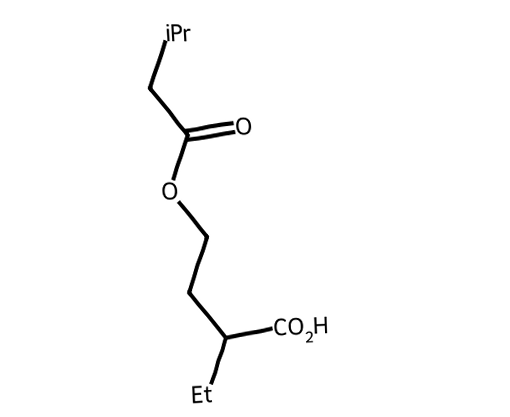 CCC(CCOC(=O)CC(C)C)C(=O)O